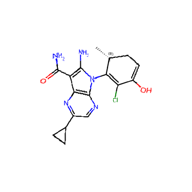 C[C@@H]1CC=C(O)C(Cl)=C1n1c(N)c(C(N)=O)c2nc(C3CC3)cnc21